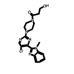 Cn1c(-c2nc(N3CCN(C(=O)CCO)CC3)ncc2Cl)nc2ccccc21